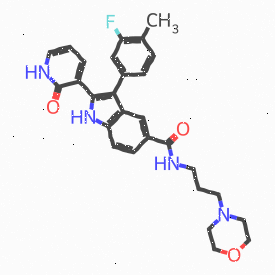 Cc1ccc(-c2c(-c3ccc[nH]c3=O)[nH]c3ccc(C(=O)NCCCN4CCOCC4)cc23)cc1F